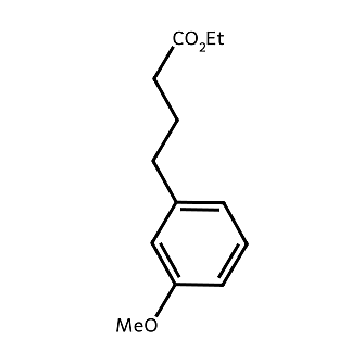 CCOC(=O)CCCc1cccc(OC)c1